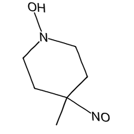 CC1(N=O)CCN(O)CC1